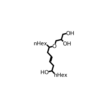 CCCCCCC(O)CC=CCC(CCCCCC)OCC(O)CO